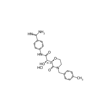 Cc1ccc(CN2CCO[C@H]([C@@H](O)C(=O)Nc3ccc(C(=N)N)cc3)C2=O)cc1.Cl